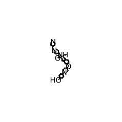 O=C(NC1CCN(Cc2ccncc2)CC1)c1cc2cc(OC3CCN(c4ccc(O)cc4)CC3)ccc2s1